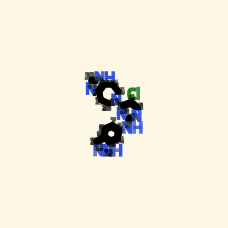 Clc1cnc(Nc2ccc3cn[nH]c3c2)nc1N1CCc2nc[nH]c2CC1